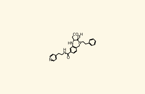 O=C(O)CC1Nc2cc(C(=O)NCCc3ccncc3)ccc2CN(CCc2ccccc2)C1=O